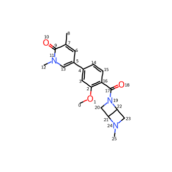 COc1cc(-c2cc(C)c(=O)n(C)c2)ccc1C(=O)N1CC2C1CN2C